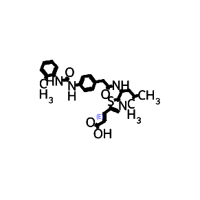 Cc1ccccc1NC(=O)Nc1ccc(CC(=O)NC(CC(C)C)c2ncc(/C=C/C(=O)O)s2)cc1